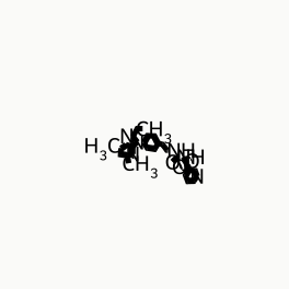 CCc1nc2c(C)cc(C)nc2n1-c1ccc(CCNC(=O)NS(=O)(=O)c2cccnc2)cc1